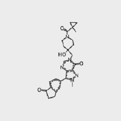 Cn1nc2c(=O)n(CC3(O)CCN(C(=O)C4(C)CC4)CC3)cnc2c1-c1ccc2c(c1)CCC2=O